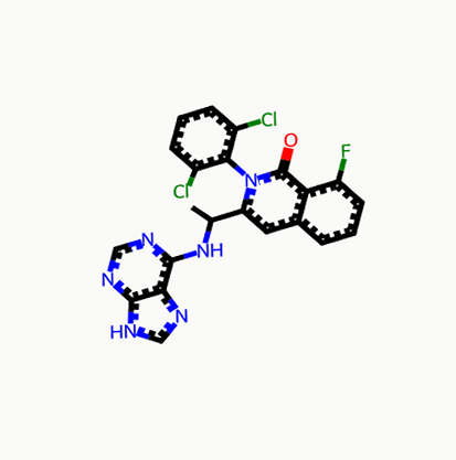 CC(Nc1ncnc2[nH]cnc12)c1cc2cccc(F)c2c(=O)n1-c1c(Cl)cccc1Cl